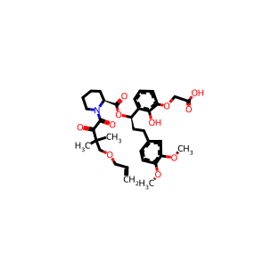 C=CCOCC(C)(C)C(=O)C(=O)N1CCCC[C@H]1C(=O)O[C@H](CCc1ccc(OC)c(OC)c1)c1cccc(OCC(=O)O)c1O